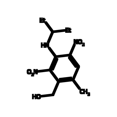 CCC(CC)Nc1c([N+](=O)[O-])cc(C)c(CO)c1[N+](=O)[O-]